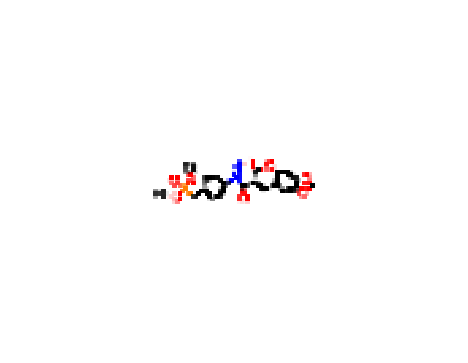 CCOP(=O)(Cc1ccc(NC(=O)c2cc3cc4c(cc3oc2=O)OCO4)cc1)OCC